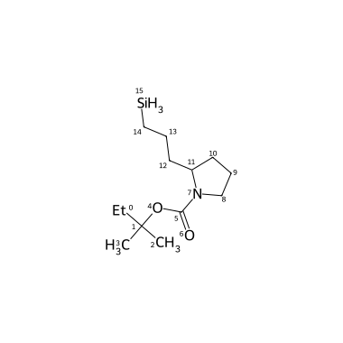 CCC(C)(C)OC(=O)N1CCCC1CCC[SiH3]